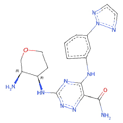 NC(=O)c1nnc(N[C@@H]2CCOC[C@@H]2N)nc1Nc1cccc(-n2nccn2)c1